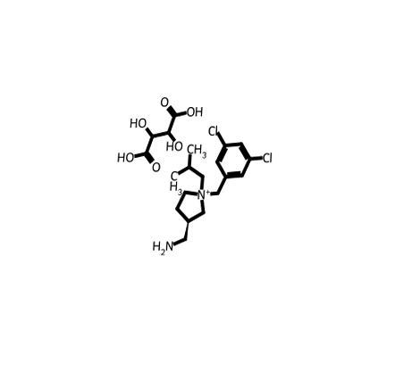 CC(C)C[N+]1(Cc2cc(Cl)cc(Cl)c2)CC[C@H](CN)C1.O=C(O)C(O)C(O)C(=O)O